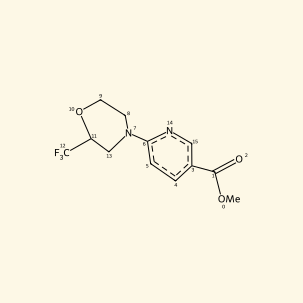 COC(=O)c1ccc(N2CCOC(C(F)(F)F)C2)nc1